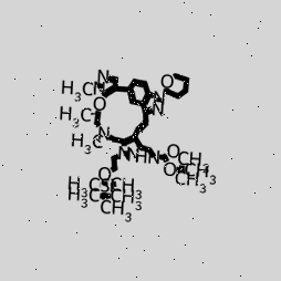 C[C@H]1CN(C)Cc2c(c(CNC(=O)OC(C)(C)C)nn2CCO[Si](C)(C)C(C)(C)C)/C=C/c2nn(C3CCCCO3)c3ccc(cc23)-c2cnn(C)c2O1